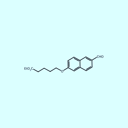 CCOC(=O)CCCCOc1ccc2cc(C=O)ccc2c1